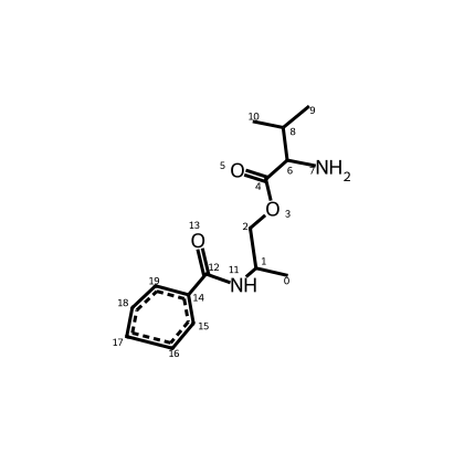 CC(COC(=O)C(N)C(C)C)NC(=O)c1ccccc1